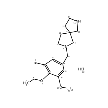 CCOc1c(Br)cc(CN2CCC3(CCNC3)C2)cc1OC.Cl